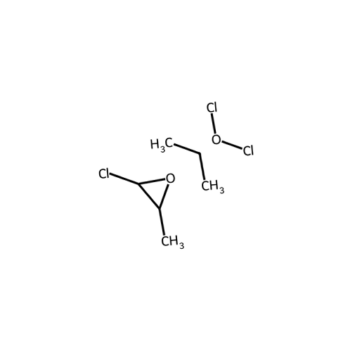 CC1OC1Cl.CCC.ClOCl